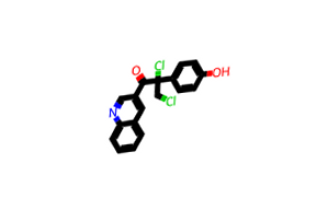 O=C(c1cnc2ccccc2c1)C(Cl)(CCl)c1ccc(O)cc1